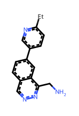 CCc1ccc(-c2ccc3cnnc(CN)c3c2)cn1